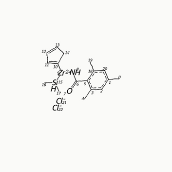 Cc1cc(C)c(C(=O)[NH][Zr+2]([C]2=CC=CC2)[SiH](C)C)c(C)c1.[Cl-].[Cl-]